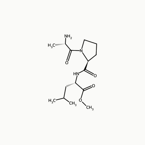 COC(=O)[C@H](CC(C)C)NC(=O)[C@@H]1CCCN1C(=O)[C@H](C)N